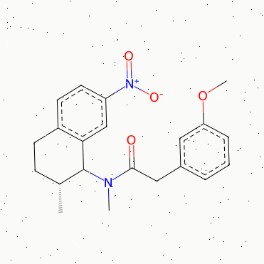 COc1cccc(CC(=O)N(C)C2c3cc([N+](=O)[O-])ccc3CC[C@H]2C)c1